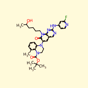 Cc1cccc2c1N(C(=O)OC(C)(C)C)CCN2c1cc2cnc(Nc3ccnc(F)c3)nc2n(CCCCC(C)O)c1=O